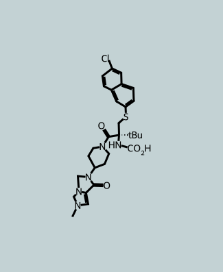 CN1C=C2C(=O)N(C3CCN(C(=O)[C@@](CSc4ccc5cc(Cl)ccc5c4)(NC(=O)O)C(C)(C)C)CC3)CN2C1